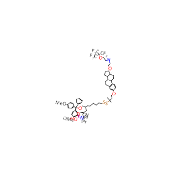 COc1ccc(C(OCC(CCCCCCSSC(C)(C)CCOc2ccc3c(c2)CCC2C3CC[C@@]3(C)C2CC[C@@H]3OCCN(C)CCOC(C(F)(F)F)(C(F)(F)F)C(F)(F)F)CC(C#N)COP(O)N(C(C)C)C(C)C)(c2ccccc2)c2ccc(OC)cc2)cc1